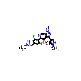 CNCc1cc(F)c(-c2ncc3[nH]nc(-c4cnn(C)c4)c3c2OC)c(F)c1